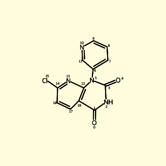 O=c1[nH]c(=O)n(-c2cccnc2)c2nc(Cl)ccc12